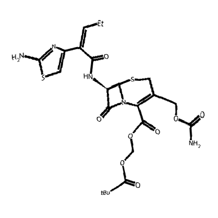 CC/C=C(\C(=O)N[C@@H]1C(=O)N2C(C(=O)OCOC(=O)C(C)(C)C)=C(COC(N)=O)CSC12)c1csc(N)n1